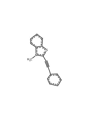 C[n+]1c(C#Cc2ccccc2)sc2ccccc21